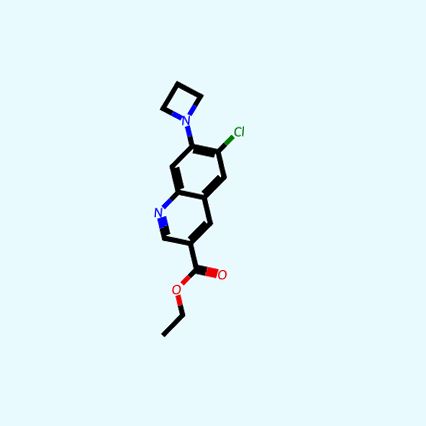 CCOC(=O)c1cnc2cc(N3CCC3)c(Cl)cc2c1